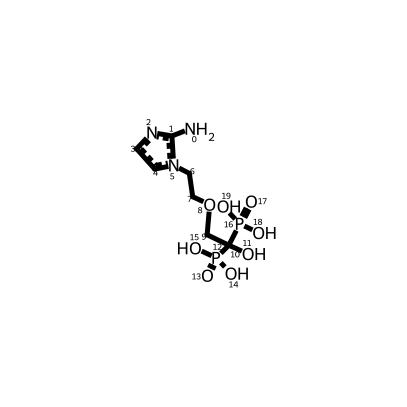 Nc1nccn1CCOCC(O)(P(=O)(O)O)P(=O)(O)O